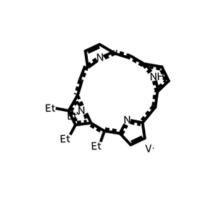 CCc1c(CC)c2c(CC)c3nc(cc4ccc(cc5nc(cc1n2CC)C=C5)[nH]4)C=C3.[V]